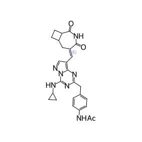 CC(=O)Nc1ccc(Cc2nc(NC3CC3)n3ncc(/C=C4\CC5CCC5C(=O)NC4=O)c3n2)cc1